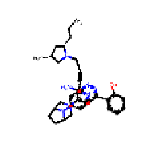 CCC[C@@H]1C[C@H](C)CN1CC#Cc1cc(N2C3CCC2CN(c2cc(-c4ccccc4O)nnc2N)C3)ccn1